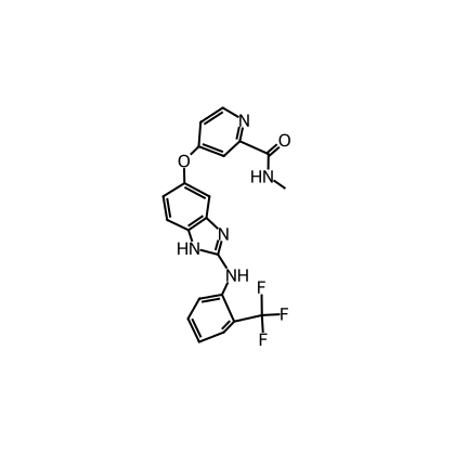 CNC(=O)c1cc(Oc2ccc3[nH]c(Nc4ccccc4C(F)(F)F)nc3c2)ccn1